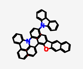 c1ccc(-c2ccccc2N(c2ccc(-n3c4ccccc4c4ccccc43)cc2)c2ccccc2-c2cccc3c2oc2cc4ccccc4cc23)cc1